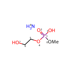 COP(=O)(O)OCCO.N